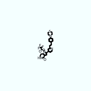 O=C1NCCc2c1cc(-c1ccnc(C=Cc3ccc(N4CCSCC4)cc3)c1)n2OC(=O)C(F)(F)F